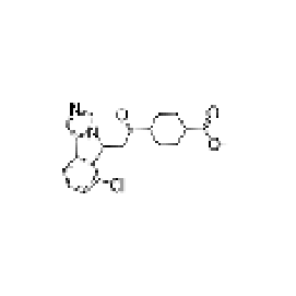 COC(=O)C1CCC(C(=O)CC2c3c(Cl)cccc3-c3cncn32)CC1